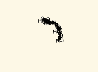 Cc1cc2c(cc1N1CCN(CC3CCN(c4ccc(C(=O)N[C@H]5CC[C@H](Oc6ccc(C#N)c(Cl)c6)CC5)nn4)CC3)CC1)C(=O)N(C1CCC(=O)NC1=O)C2=O